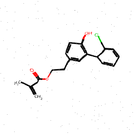 C=C(C)C(=O)OCCc1ccc(O)c(C2C=CC=CC2Cl)c1